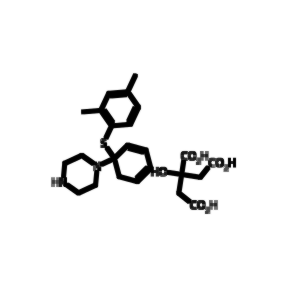 Cc1ccc(SC2(N3CCNCC3)C=CC=CC2)c(C)c1.O=C(O)CC(O)(CC(=O)O)C(=O)O